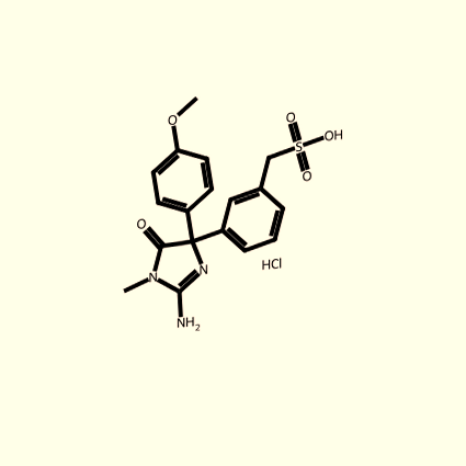 COc1ccc(C2(c3cccc(CS(=O)(=O)O)c3)N=C(N)N(C)C2=O)cc1.Cl